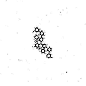 Cc1cncc(-c2cccc(-c3ccc4c(c3)P(=O)(c3ccccc3)c3cc(C)cc5c3N4c3ccc(-c4cccc(-c6cncc(C)c6)c4)cc3P5(=O)c3ccccc3)c2)c1